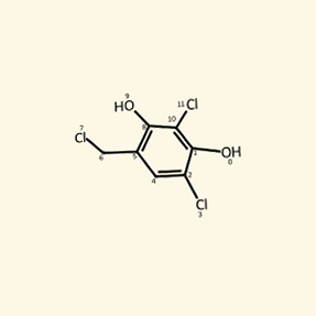 Oc1c(Cl)cc(CCl)c(O)c1Cl